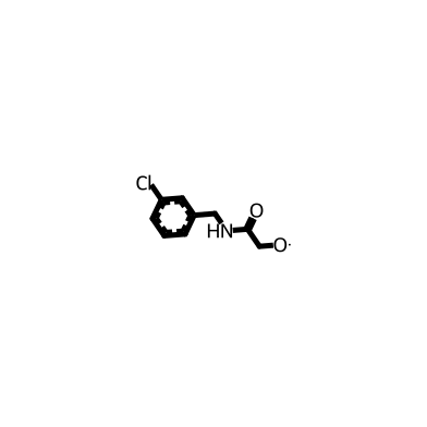 [O]CC(=O)NCc1cccc(Cl)c1